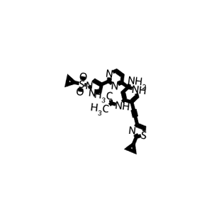 CC(C)NC1=CC(N)(c2ccnc(-c3cnn(S(=O)(=O)C4CC4)c3)n2)NC=C1C#Cc1csc(C2CC2)n1